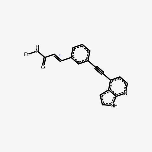 CCNC(=O)/C=C/c1cccc(C#Cc2ccnc3[nH]ccc23)c1